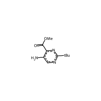 COC(=O)c1nc(C(C)(C)C)ncc1N